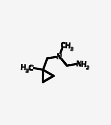 CN(CN)CC1(C)CC1